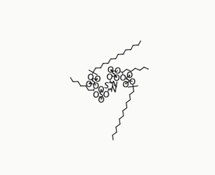 CCCCCCCCCCCCCC(C)(C)OS(=O)(=O)OC(CCCCCC)OS(=O)(=O)Oc1nnc(OS(=O)(=O)OC(CCCCCC)OS(=O)(=O)OC(C)(C)CCCCCCCCCCCCC)s1